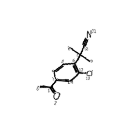 CC(=O)c1ccc(C(C)(C)C#N)c(Cl)c1